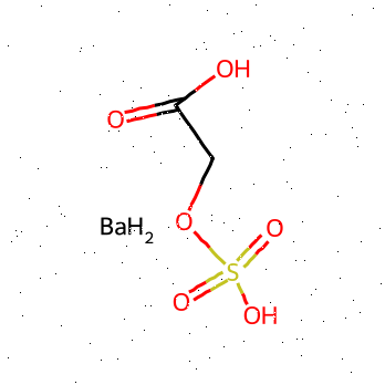 O=C(O)COS(=O)(=O)O.[BaH2]